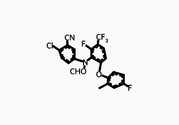 Cc1cc(F)ccc1Oc1ccc(C(F)(F)F)c(F)c1N(C=O)c1ccc(Cl)c(C#N)c1